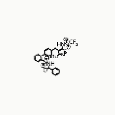 CCCCc1nsc(NS(=O)(=O)C(F)(F)F)c1Cc1ccc(-c2ccccc2S(=O)(=O)NC(=O)c2ccccc2)cc1